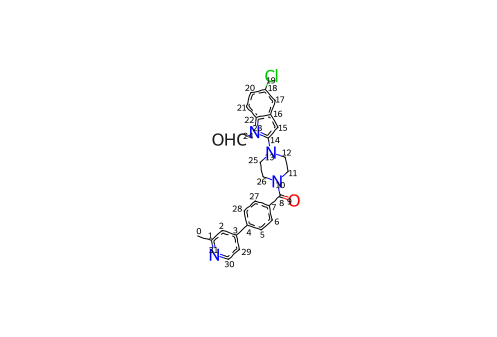 Cc1cc(-c2ccc(C(=O)N3CCN(c4cc5cc(Cl)ccc5n4C=O)CC3)cc2)ccn1